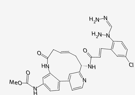 COC(=O)Nc1ccc2c(c1)NC(=O)C/C=C/C[C@H](NC(=O)/C=C/c1cc(Cl)ccc1N(N)/C=N\N)c1cc-2ccn1